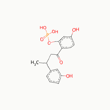 CC(CC(=O)c1ccc(O)cc1OP(=O)(O)O)c1cccc(O)c1